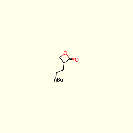 CCCCCC[C@H]1COC1=O